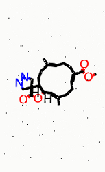 COC(=O)/C1=C\CC/C(C)=C/[C@@H]2OC(=O)C3(CN=NC3)[C@H]2CC/C(C)=C/CC1